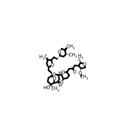 C=C1CC(CC[C@]23CC[C@@](C)(O)C(O2)[C@H]2CC(O3)[C@H]3OC(CC(=O)CC4[C@H](C)OC[C@@H]4OC)CCC3O2)OC1CC[C@H]1C[C@@H](C)C(=C)CO1